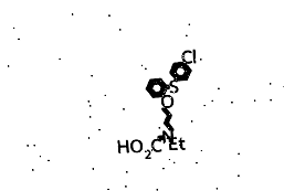 CCN(CCCCOc1ccccc1Sc1ccc(Cl)cc1)CC(=O)O